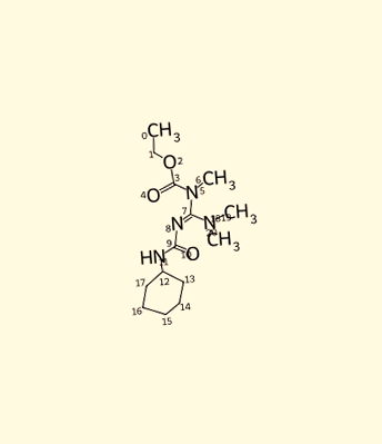 CCOC(=O)N(C)/C(=N/C(=O)NC1CCCCC1)N(C)C